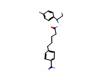 N=C(N)c1ccc(CCCCC(=O)NC(CC(=O)O)c2ccc(C(=O)O)cc2)cc1